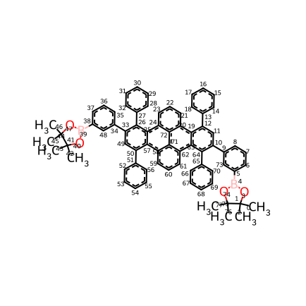 CC1(C)OB(c2cccc(-c3cc(-c4ccccc4)c4c5cccc6c7c(-c8ccccc8)c(-c8cccc(B9OC(C)(C)C(C)(C)O9)c8)cc(-c8ccccc8)c7c7cccc(c4c3-c3ccccc3)c7c56)c2)OC1(C)C